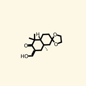 CC1(C)C(=O)/C(=C\O)C[C@]2(C)CC3(CC[C@@H]12)OCCO3